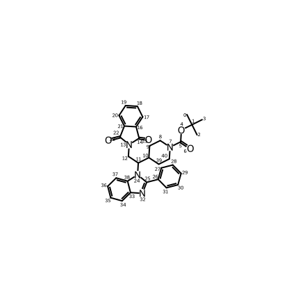 CC(C)(C)OC(=O)N1CCC(C(CN2C(=O)c3ccccc3C2=O)n2c(-c3ccccc3)nc3ccccc32)CC1